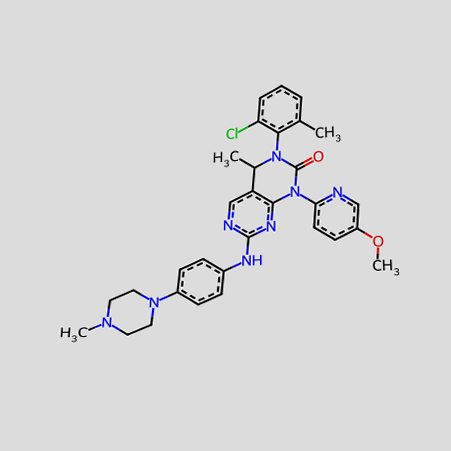 COc1ccc(N2C(=O)N(c3c(C)cccc3Cl)C(C)c3cnc(Nc4ccc(N5CCN(C)CC5)cc4)nc32)nc1